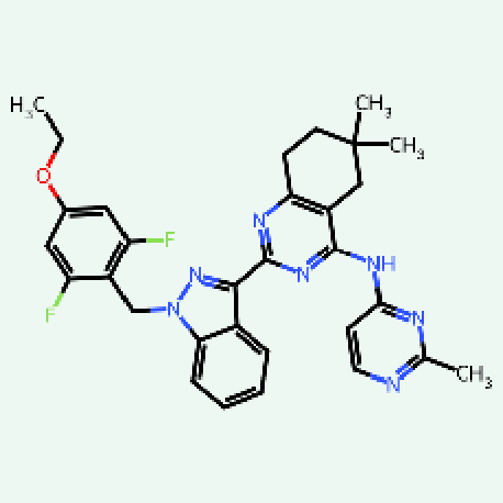 CCOc1cc(F)c(Cn2nc(-c3nc4c(c(Nc5ccnc(C)n5)n3)CC(C)(C)CC4)c3ccccc32)c(F)c1